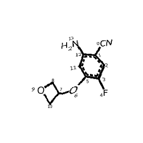 N#Cc1cc(F)c(OC2COC2)cc1N